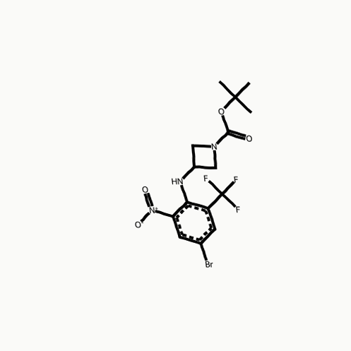 CC(C)(C)OC(=O)N1CC(Nc2c([N+](=O)[O-])cc(Br)cc2C(F)(F)F)C1